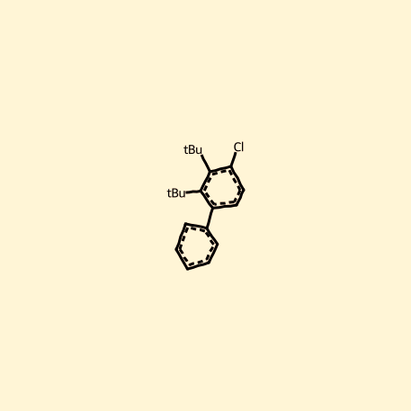 CC(C)(C)c1c(Cl)ccc(-c2ccccc2)c1C(C)(C)C